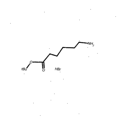 Br.CC(C)(C)OC(=O)CCCCCN